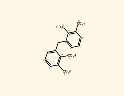 O=C(O)c1cccc(Cc2cccc(C(=O)O)c2C(=O)O)c1C(=O)O